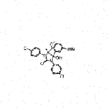 COC[C@@]1(C)N(c2ccc(Cl)cc2)C(=O)N(c2ccc(Cl)cc2)C1(O)c1cccc(C#N)c1